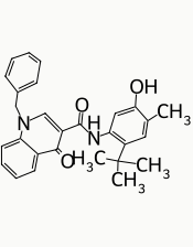 Cc1cc(C(C)(C)C)c(NC(=O)c2cn(Cc3ccccc3)c3ccccc3c2=O)cc1O